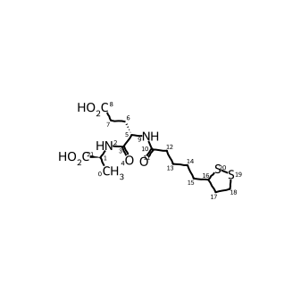 C[C@H](NC(=O)[C@H](CCC(=O)O)NC(=O)CCCCC1CCSS1)C(=O)O